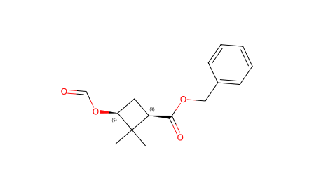 CC1(C)[C@@H](OC=O)C[C@H]1C(=O)OCc1ccccc1